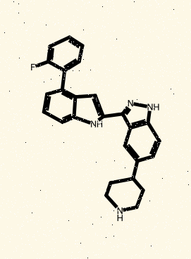 Fc1ccccc1-c1cccc2[nH]c(-c3n[nH]c4ccc(C5CCNCC5)cc34)cc12